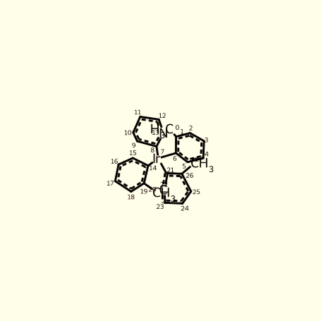 Cc1cccc[c]1[Ir]([c]1ccccn1)([c]1ccccc1C)[c]1ccccc1C